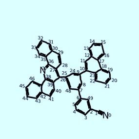 N#Cc1cccc(-c2cc(-c3cc4ccccc4c4ccccc34)cc(-c3c4ccc5ccccc5c4nc4c3ccc3ccccc34)c2)c1